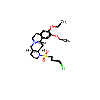 CCOc1cc2c(cc1OCC)[C@@H]1C[C@@H]3[C@@H](CCCN3S(=O)(=O)CCCCl)CN1CC2